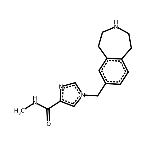 CNC(=O)c1cn(Cc2ccc3c(c2)CCNCC3)cn1